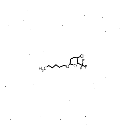 CCCCCCO[C@H]1CCC(O)C(C(F)(F)F)O1